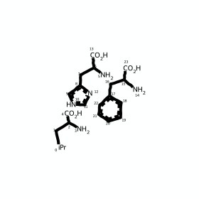 CC(C)CC(N)C(=O)O.NC(Cc1c[nH]cn1)C(=O)O.NC(Cc1ccccc1)C(=O)O